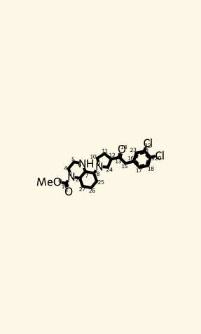 COC(=O)N1CCNC2C(N3CCC(C(=O)Cc4ccc(Cl)c(Cl)c4)C3)CCCC21